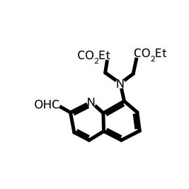 CCOC(=O)CN(CC(=O)OCC)c1cccc2ccc(C=O)nc12